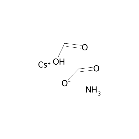 N.O=CO.O=C[O-].[Cs+]